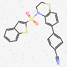 N#Cc1ccc(-c2ccc3c(c2)N(S(=O)(=O)c2cc4ccccc4s2)CCS3)cc1